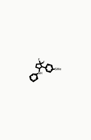 CSc1ccc(C2C(Nc3ccccc3)CCC2(F)F)cc1